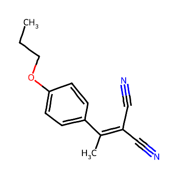 CCCOc1ccc(C(C)=C(C#N)C#N)cc1